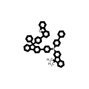 CC1(C)c2ccccc2-c2ccc(N(c3ccc(-c4ccccc4)cc3)c3ccc(-c4ccc5c(c4)C(c4ccccc4)(c4ccc(-c6cccc7c6oc6ccccc67)cc4)c4ccccc4-5)cc3)cc21